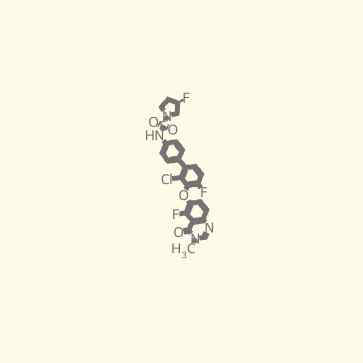 Cn1cnc2ccc(Oc3c(F)ccc(-c4ccc(NS(=O)(=O)N5CC[C@@H](F)C5)cc4)c3Cl)c(F)c2c1=O